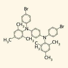 Cc1cc(C)c(N(c2ccc(Br)cc2)c2ccc(N(c3ccc(Br)cc3)c3c(C)cc(C)cc3C)cc2)c(C)c1